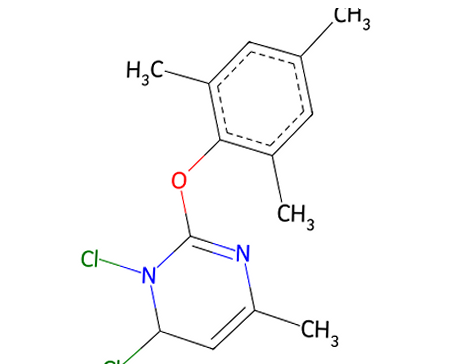 CC1=CC(Cl)N(Cl)C(Oc2c(C)cc(C)cc2C)=N1